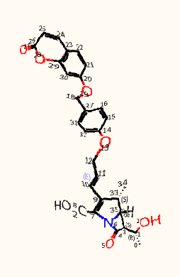 C[C@@H](O)[C@H]1C(=O)N2C(C(=O)O)=C(/C=C/COc3ccc(COc4ccc5ccc(=O)oc5c4)cc3)[C@H](C)[C@H]12